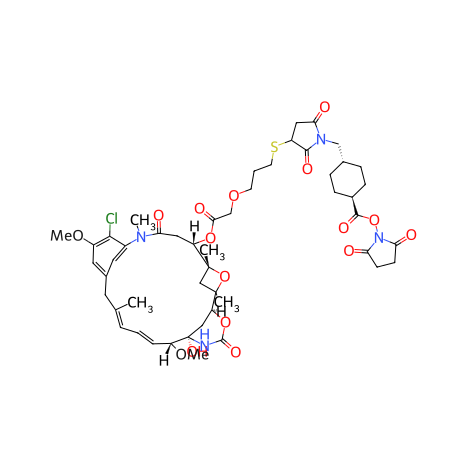 COc1cc2cc(c1Cl)N(C)C(=O)C[C@H](OC(=O)COCCCSC1CC(=O)N(C[C@H]3CC[C@H](C(=O)ON4C(=O)CCC4=O)CC3)C1=O)[C@@]1(C)CC(C)(O1)[C@@H]1C[C@@](O)(NC(=O)O1)[C@H](OC)/C=C/C=C(\C)C2